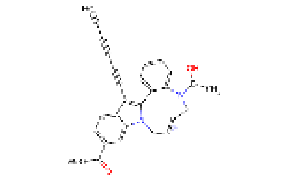 C#CC#CC#Cc1c2n(c3cc(C(=O)OC)ccc13)C/C=C/CN(B(C)O)c1ccccc1-2